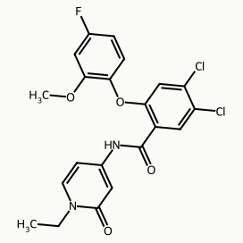 CCn1ccc(NC(=O)c2cc(Cl)c(Cl)cc2Oc2ccc(F)cc2OC)cc1=O